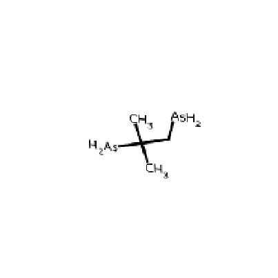 CC(C)([AsH2])C[AsH2]